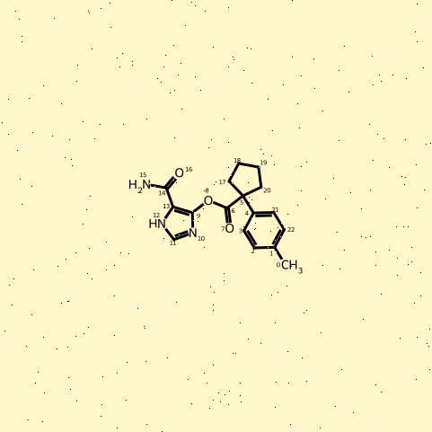 Cc1ccc(C2(C(=O)Oc3nc[nH]c3C(N)=O)CCCC2)cc1